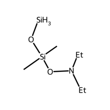 CCN(CC)O[Si](C)(C)O[SiH3]